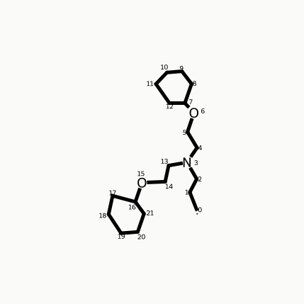 [CH2]CCN(CCOC1CCCCC1)CCOC1CCCCC1